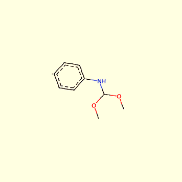 COC(Nc1cc[c]cc1)OC